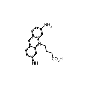 N=c1ccc2cc3ccc(N)cc3n(CCCC(=O)O)c-2c1